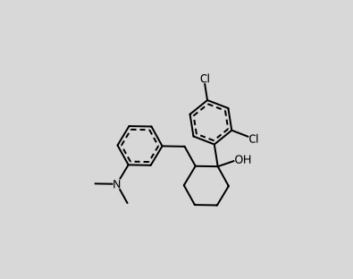 CN(C)c1cccc(CC2CCCCC2(O)c2ccc(Cl)cc2Cl)c1